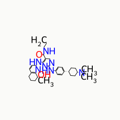 C=CCNC(=O)c1cnc(Nc2ccc([C@H]3CC[C@@H](N(C)C)CC3)cc2)nc1Nc1ccc2c(n1)C(C)(O)CCC2